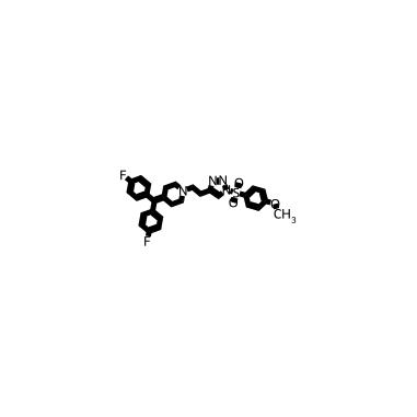 COc1ccc(S(=O)(=O)n2cc(CCN3CCC(=C(c4ccc(F)cc4)c4ccc(F)cc4)CC3)nn2)cc1